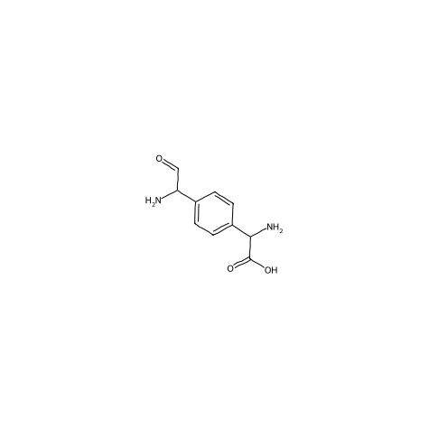 NC(C=O)c1ccc(C(N)C(=O)O)cc1